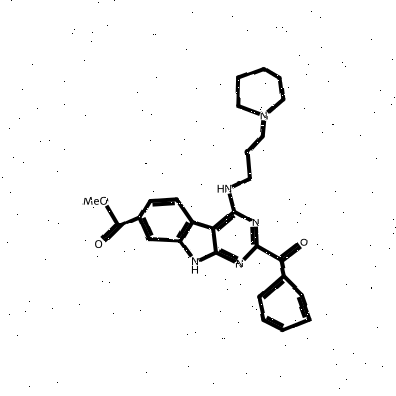 COC(=O)c1ccc2c(c1)[nH]c1nc(C(=O)c3ccccc3)nc(NCCCN3CCCCC3)c12